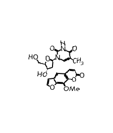 COc1c2occc2cc2ccc(=O)oc12.Cc1cn([C@H]2C[C@H](O)[C@@H](CO)O2)c(=O)[nH]c1=O